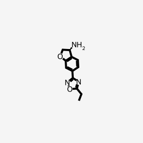 CCc1nc(-c2ccc3c(c2)OC[C@H]3N)no1